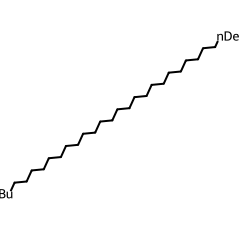 CCCCCCCCCCCCCCCCCCCCCCCCCCCCCCCCCCC(C)(C)C